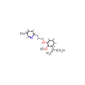 CCOc1c(OCCCc2ccc(CC)cn2)cccc1C(C)C(=O)O